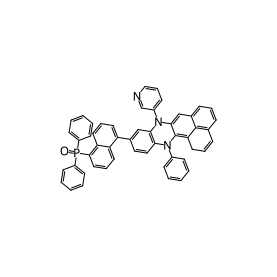 O=P(c1ccccc1)(c1ccccc1)c1cccc2c(-c3ccc4c(c3)N(c3cccnc3)c3cc5cccc6c5c(c3N4c3ccccc3)CC=C6)cccc12